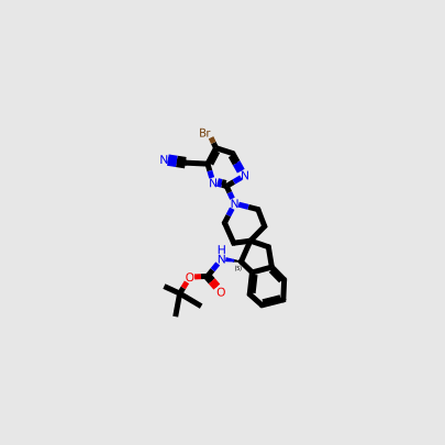 CC(C)(C)OC(=O)N[C@@H]1c2ccccc2CC12CCN(c1ncc(Br)c(C#N)n1)CC2